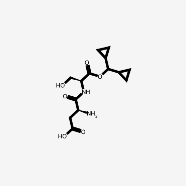 N[C@@H](CC(=O)O)C(=O)N[C@@H](CO)C(=O)OC(C1CC1)C1CC1